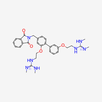 C/N=C(\NC)NCCOc1cccc(-c2ccc(CN3C(=O)c4ccccc4C3=O)cc2OCCN/C(=N/C)NC)c1